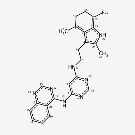 CC1=c2c(CCNc3cc(Nc4ncnc5ccccc45)ncn3)c(C)[nH]c2=C(F)CC1